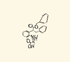 C[C@H](Nc1ccccc1C(Cc1ccccc1)C(=O)OCc1ccccc1)C(=O)O